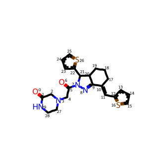 O=C1CN(CC(=O)N2N=C3/C(=C/c4cccs4)CCCC3C2c2cccs2)CCN1